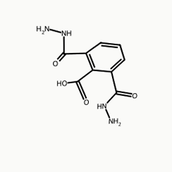 NNC(=O)c1cccc(C(=O)NN)c1C(=O)O